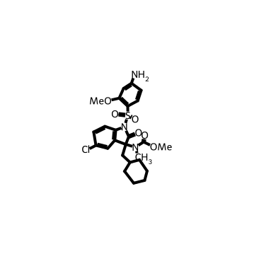 COC(=O)N(C)C1(CC2CCCCC2)C(=O)N(S(=O)(=O)c2ccc(N)cc2OC)c2ccc(Cl)cc21